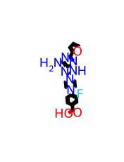 Nc1nc(-c2ccco2)nc2[nH]c(N3CCN(c4ccc(C(=O)O)cc4F)CC3)nc12